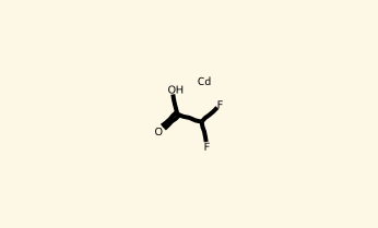 O=C(O)C(F)F.[Cd]